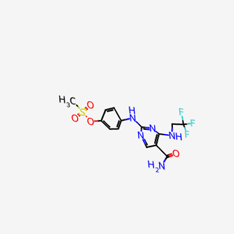 CS(=O)(=O)Oc1ccc(Nc2ncc(C(N)=O)c(NCC(F)(F)F)n2)cc1